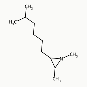 CC(C)CCCCC1C(C)N1C